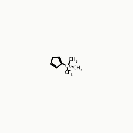 [CH3][Ge]([CH3])([C]1=[C]CC=C1)[C](F)(F)F